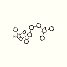 c1ccc(-c2cc(-c3ccccc3)nc(-c3cccc(-c4cccc(-c5ccc6c(c5)C5(c7ccccc7-6)c6ccccc6N6c7c(cccc75)NC6c5ccccc5)c4)c3)c2)cc1